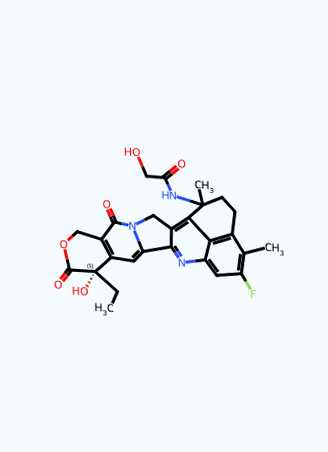 CC[C@@]1(O)C(=O)OCc2c1cc1n(c2=O)Cc2c-1nc1cc(F)c(C)c3c1c2C(C)(NC(=O)CO)CC3